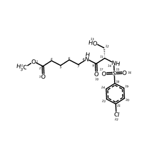 COC(=O)CCCCNC(=O)[C@H](CO)NS(=O)(=O)c1ccc(Cl)cc1